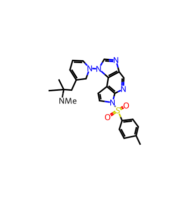 [CH2]NC(C)(C)CC1=CC=CN(n2cnc3cnc4c(ccn4S(=O)(=O)c4ccc(C)cc4)c32)C1